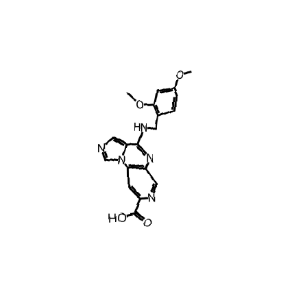 COc1ccc(CNc2nc3cnc(C(=O)O)cc3n3cncc23)c(OC)c1